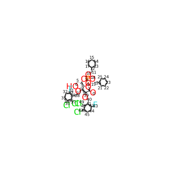 O=C1O[C@H]([C@H](CO)OP(=O)(OCc2ccccc2)OCc2ccccc2)C(OCc2c(F)ccc(Cl)c2Cl)=C1OCc1c(F)ccc(Cl)c1Cl